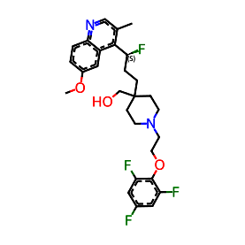 COc1ccc2ncc(C)c([C@@H](F)CCC3(CO)CCN(CCOc4c(F)cc(F)cc4F)CC3)c2c1